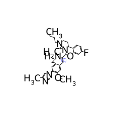 C=C1N(CCCC)CCC(c2ccc(F)cc2)N1C(=O)/C(N)=C/c1ccc(-n2cnc(C)c2)c(OC)c1